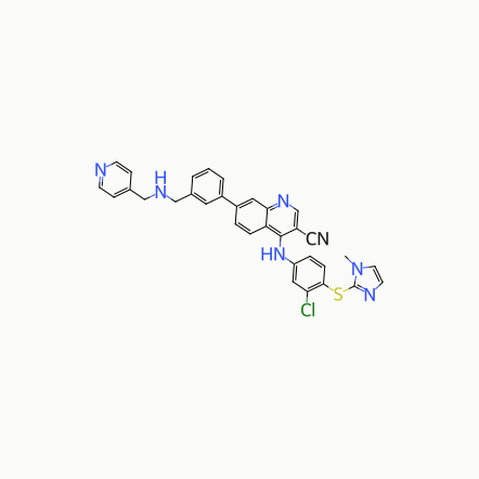 Cn1ccnc1Sc1ccc(Nc2c(C#N)cnc3cc(-c4cccc(CNCc5ccncc5)c4)ccc23)cc1Cl